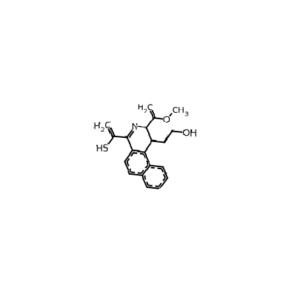 C=C(S)C1=NC(C(=C)OC)C(CCO)c2c1ccc1ccccc21